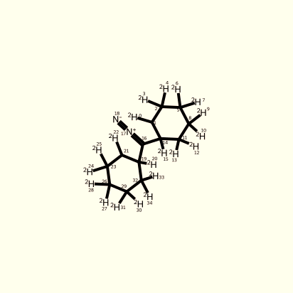 [2H]C1C([2H])([2H])C([2H])([2H])C([2H])([2H])C([2H])([2H])C1([2H])C(=[N+]=[N-])C1([2H])C([2H])C([2H])([2H])C([2H])([2H])C([2H])([2H])C1([2H])[2H]